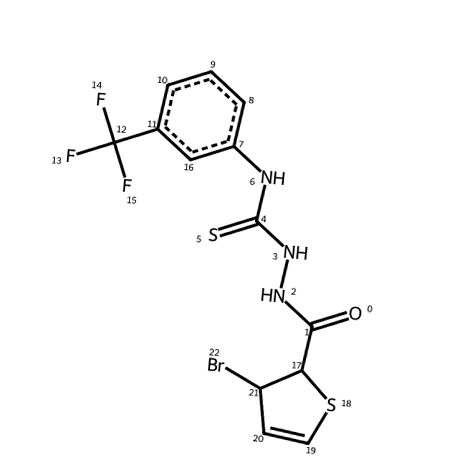 O=C(NNC(=S)Nc1cccc(C(F)(F)F)c1)C1SC=CC1Br